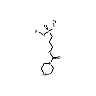 CCOP(=O)(CCCOC(=O)N1CCNCC1)OCC